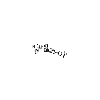 CC(C)(CNc1ccc(-c2ccc(C(F)(F)F)cc2)cn1)NCC(=O)N1CCC[C@H]1C#N